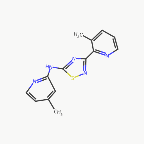 Cc1ccnc(Nc2nc(-c3ncccc3C)ns2)c1